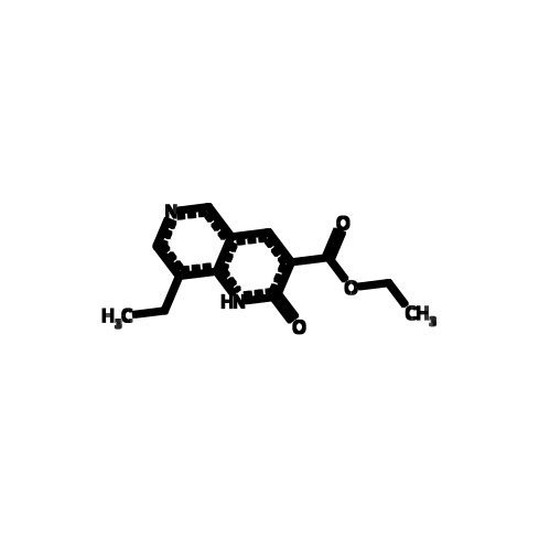 CCOC(=O)c1cc2cncc(CC)c2[nH]c1=O